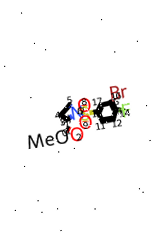 COC(=O)[C@@H]1CCN1S(=O)(=O)c1ccc(F)c(Br)c1